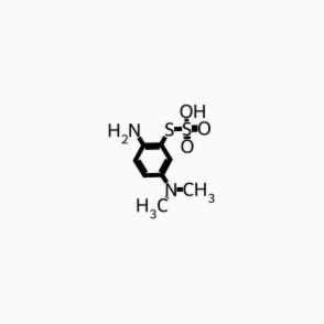 CN(C)c1ccc(N)c(SS(=O)(=O)O)c1